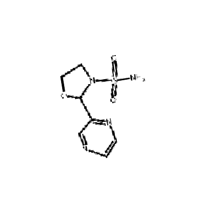 NS(=O)(=O)N1CCOC1c1cnccn1